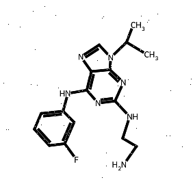 CC(C)n1cnc2c(Nc3cccc(F)c3)nc(NCCN)nc21